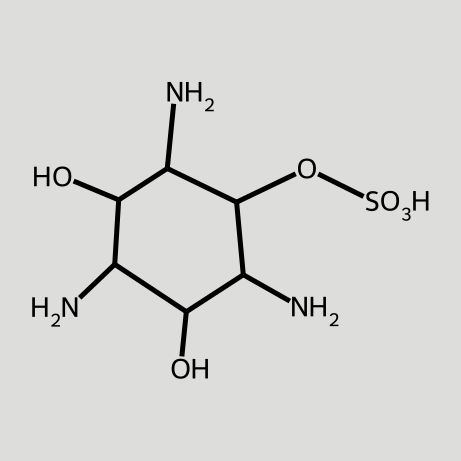 NC1C(O)C(N)C(OS(=O)(=O)O)C(N)C1O